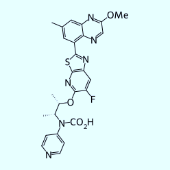 COc1cnc2c(-c3nc4cc(F)c(O[C@@H](C)[C@@H](C)N(C(=O)O)c5ccncc5)nc4s3)cc(C)cc2n1